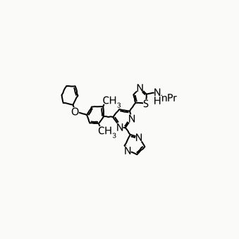 CCCNc1ncc(-c2cc(-c3c(C)cc(OC4C=CCCC4)cc3C)nc(-c3cnccn3)n2)s1